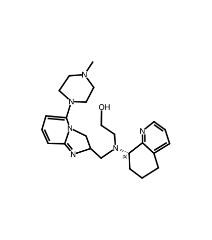 CN1CCN(C2=CC=CC3=NC(CN(CCO)[C@H]4CCCc5cccnc54)CN23)CC1